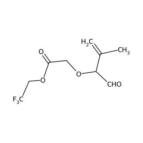 C=C(C)C(C=O)OCC(=O)OCC(F)(F)F